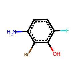 Nc1ccc(F)c(O)c1Br